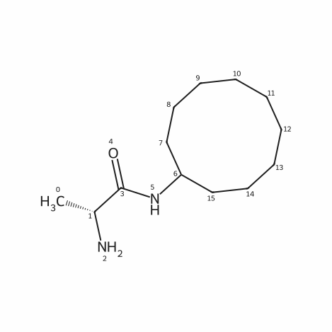 C[C@@H](N)C(=O)NC1CCCCCCCCC1